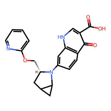 O=C(O)c1c[nH]c2cc(N3C4CC4C[C@@H]3COc3ccccn3)ccc2c1=O